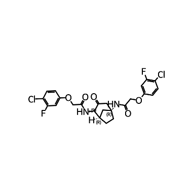 O=C(COc1ccc(Cl)c(F)c1)N[C@H]1C(=O)C[C@@]2(NC(=O)COc3ccc(Cl)c(F)c3)CC[C@@H]1C2